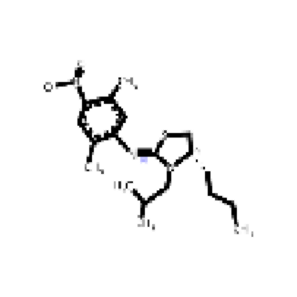 CCCC[C@H]1CS/C(=N\c2cc(C)c([N+](=O)[O-])cc2C)N1CC(C)C